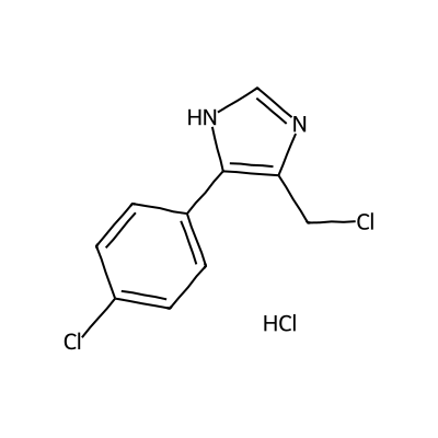 Cl.ClCc1nc[nH]c1-c1ccc(Cl)cc1